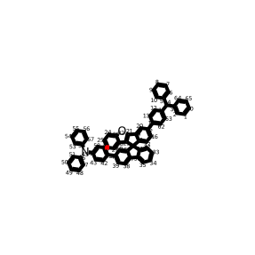 c1ccc(C(c2ccccc2)c2ccc(-c3ccc4c(c3)-c3oc5ccccc5c3C43c4ccccc4-c4ccc(-c5ccc(N(c6ccccc6)c6ccccc6)cc5)cc43)cc2)cc1